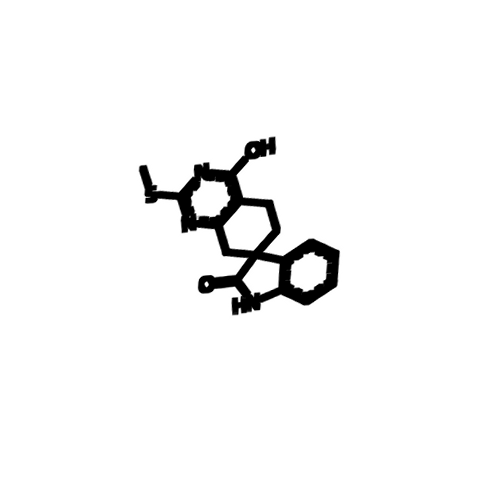 CSc1nc(O)c2c(n1)CC1(CC2)C(=O)Nc2ccccc21